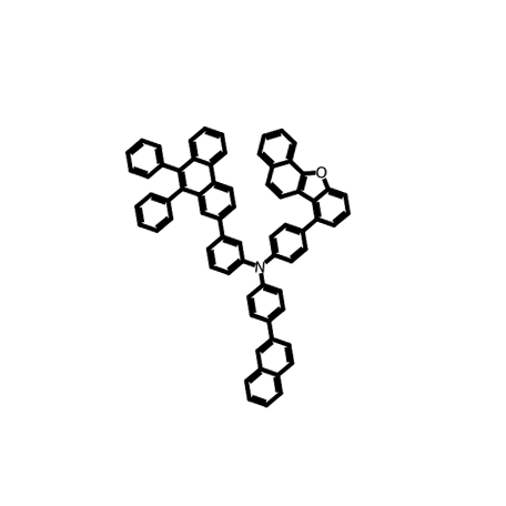 c1ccc(-c2c(-c3ccccc3)c3cc(-c4cccc(N(c5ccc(-c6ccc7ccccc7c6)cc5)c5ccc(-c6cccc7oc8c9ccccc9ccc8c67)cc5)c4)ccc3c3ccccc23)cc1